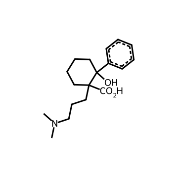 CN(C)CCCC1(C(=O)O)CCCCC1(O)c1ccccc1